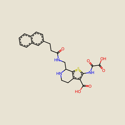 O=C(CCc1ccc2ccccc2c1)NCC1NCCc2c1sc(NC(=O)C(=O)O)c2C(=O)O